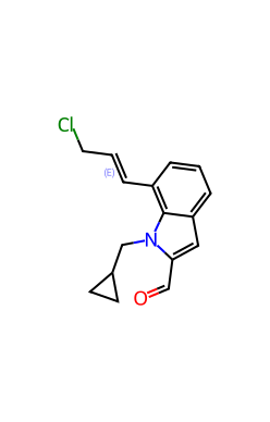 O=Cc1cc2cccc(/C=C/CCl)c2n1CC1CC1